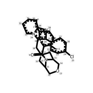 COc1ccc(F)c(C(=O)N2C3COCC2CN(Cc2c(-c4ccc(Cl)cc4)nc4ccccn24)C3)n1